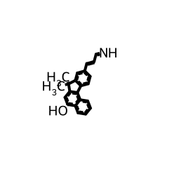 CC1(C)c2cc(C=CC=N)ccc2-c2c1cc(O)c1ccccc21